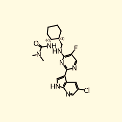 CN(C)C(=O)N[C@@H]1CCCC[C@H]1CNc1nc(-c2c[nH]c3ncc(Cl)cc23)ncc1F